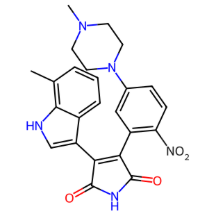 Cc1cccc2c(C3=C(c4cc(N5CCN(C)CC5)ccc4[N+](=O)[O-])C(=O)NC3=O)c[nH]c12